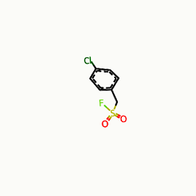 O=S(=O)(F)Cc1ccc(Cl)cc1